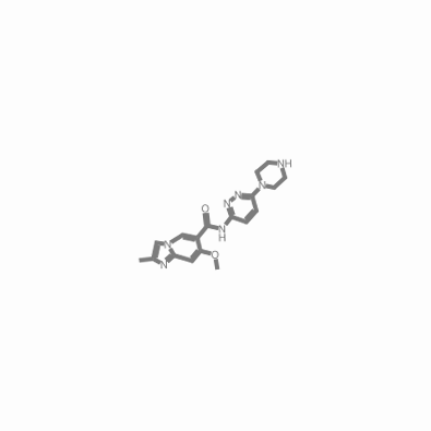 COc1cc2nc(C)cn2cc1C(=O)Nc1ccc(N2CCNCC2)nn1